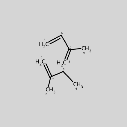 C=C(C)CC.C=CC(=C)C